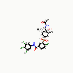 CCC1C[C@@H](S(=O)(=O)c2cc(C(=O)Nc3cc(F)c(F)c(F)c3)ccc2Cl)C[C@H](C)[C@@]1(O)CNC(=O)C(C)C